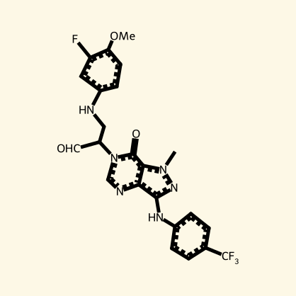 COc1ccc(NCC(C=O)n2cnc3c(Nc4ccc(C(F)(F)F)cc4)nn(C)c3c2=O)cc1F